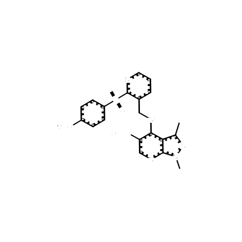 CCOC(=O)c1cnc2c(c(C)nn2C)c1NCc1cccnc1S(=O)(=O)c1ccc(OC)cc1